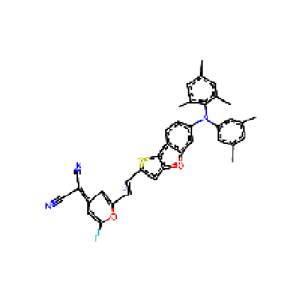 Cc1cc(C)cc(N(c2ccc3c(c2)oc2cc(/C=C/C4=CC(=C(C#N)C#N)C=C(F)O4)sc23)c2c(C)cc(C)cc2C)c1